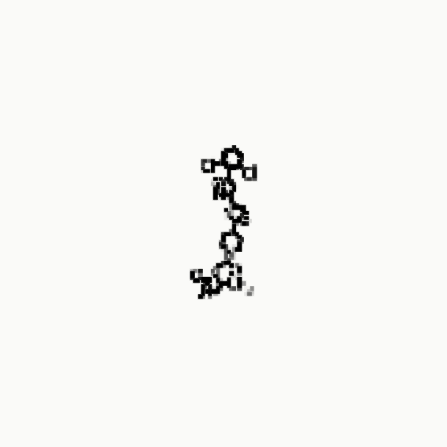 Cn1cc(C(F)(F)F)n(CC(=O)N2CCC(c3nc(C4=NOC(c5c(Cl)cccc5Cl)C4)cs3)CC2)c1=O